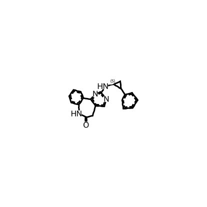 O=C1Cc2cnc(N[C@H]3CC3c3ccccc3)nc2-c2ccccc2N1